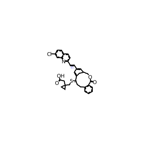 O=C(O)CC1(CS[C@@H]2CCc3ccccc3C(=O)OCC3C=C(/C=C/c4ccc5ccc(Cl)cc5n4)C=C2C3)CC1